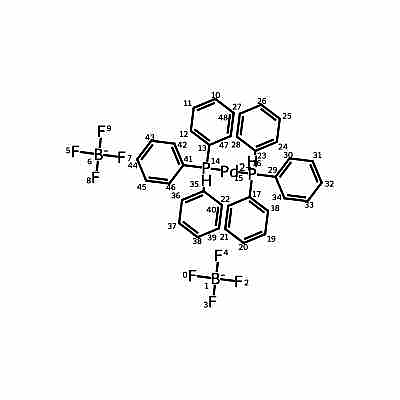 F[B-](F)(F)F.F[B-](F)(F)F.c1ccc([PH]([Pd+2][PH](c2ccccc2)(c2ccccc2)c2ccccc2)(c2ccccc2)c2ccccc2)cc1